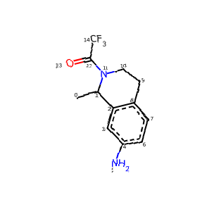 CC1c2cc(N)ccc2CCN1C(=O)C(F)(F)F